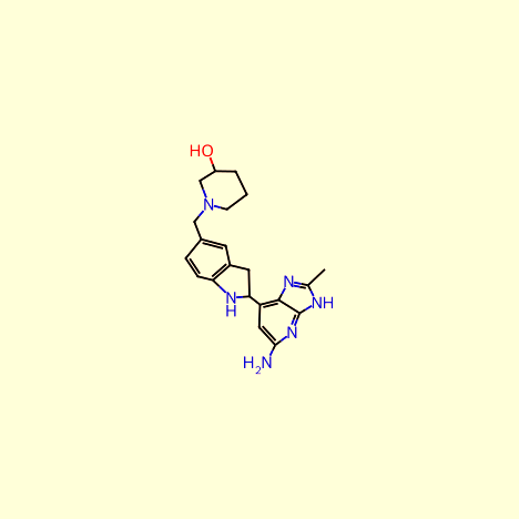 Cc1nc2c(C3Cc4cc(CN5CCCC(O)C5)ccc4N3)cc(N)nc2[nH]1